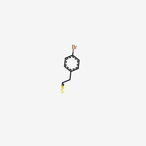 S=CCc1ccc(Br)cc1